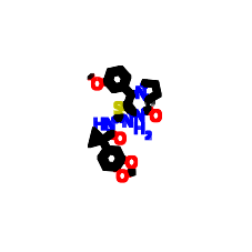 COc1cccc(C(c2cnc(NC(=O)C3(c4ccc5c(c4)OCO5)CC3)s2)N2CCC[C@@H]2C(N)=O)c1